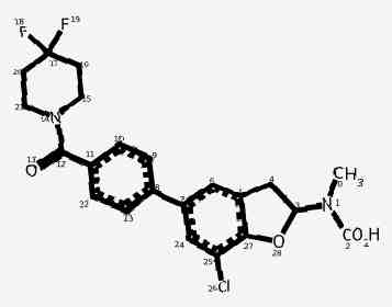 CN(C(=O)O)C1Cc2cc(-c3ccc(C(=O)N4CCC(F)(F)CC4)cc3)cc(Cl)c2O1